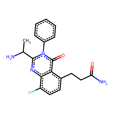 CC(N)c1nc2c(F)ccc(CCC(N)=O)c2c(=O)n1-c1ccccc1